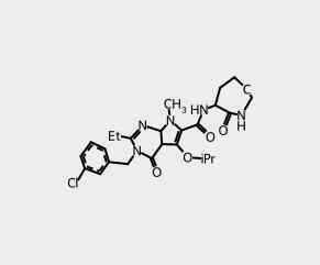 CCC1=NC2C(C(=O)N1Cc1cccc(Cl)c1)C(OC(C)C)=C(C(=O)NC1CCCCNC1=O)N2C